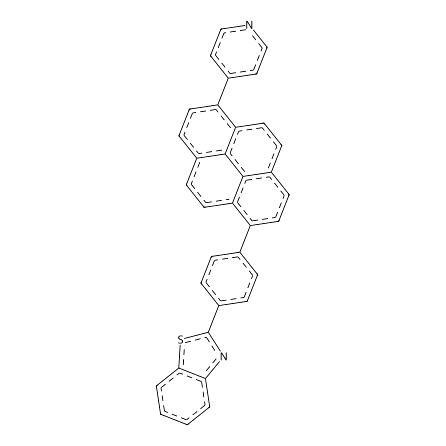 c1ccc2sc(-c3ccc(-c4ccc5ccc6c(-c7ccncc7)ccc7ccc4c5c76)cc3)nc2c1